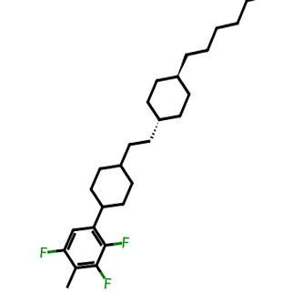 CCCCCC[C@H]1CC[C@H](CCC2CCC(c3cc(F)c(C)c(F)c3F)CC2)CC1